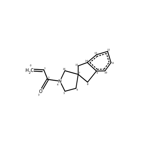 C=CC(=O)N1CCC2(Cc3ccccc3C2)C1